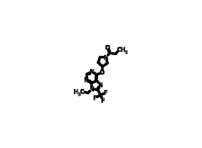 CCC(=O)N1CCC(Oc2ncnc3c2nc(C(F)(F)F)n3CC)C1